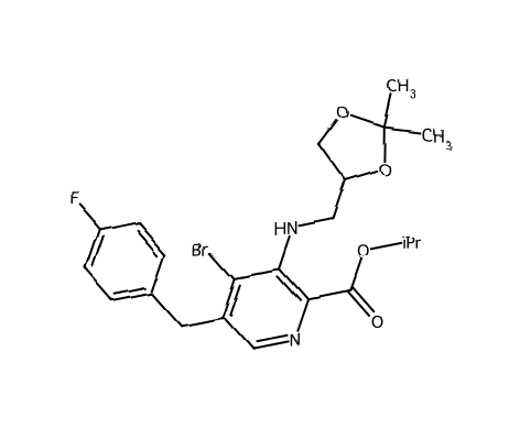 CC(C)OC(=O)c1ncc(Cc2ccc(F)cc2)c(Br)c1NCC1COC(C)(C)O1